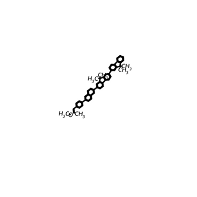 CO/C(C)=C/c1ccc(-c2ccc3cc(-c4ccc5c(c4)C(C)(C)c4cc(-c6ccc7c(c6)C(C)(C)c6ccccc6-7)ccc4-5)ccc3c2)cc1